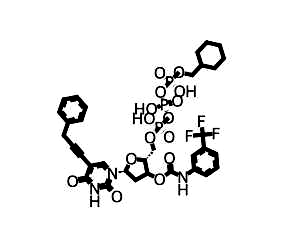 O=C(Nc1cccc(C(F)(F)F)c1)OC1C[C@H](n2cc(C#CCc3ccccc3)c(=O)[nH]c2=O)O[C@@H]1COP(=O)(O)OP(=O)(O)OP(=O)(O)OCC1CCCCC1